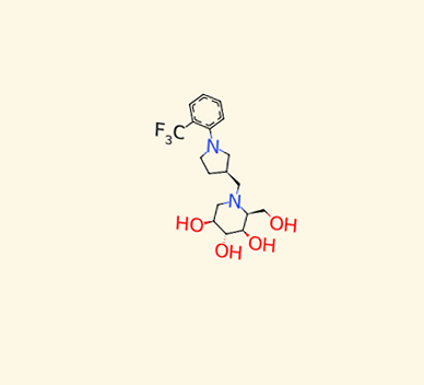 OC[C@H]1[C@@H](O)[C@H](O)[C@@H](O)CN1C[C@H]1CCN(c2ccccc2C(F)(F)F)C1